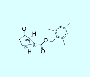 Cc1cc(C)c(COC(=O)[C@@H]2[C@H]3CCC(=O)[C@H]32)c(C)c1